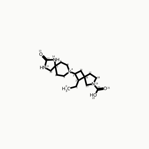 CCC1C(N2CCC3(CC2)CNC(=O)N3)CC12CCN(C(=O)O)C2